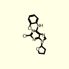 Clc1nc(Nc2ccccc2Cl)c2ncn(C3CCCO3)c2n1